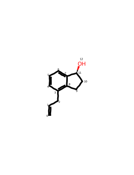 C=CCc1cccc2c1CC[C@@H]2O